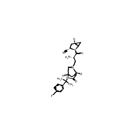 CC(C)(c1ccc(F)cc1)N1C(=O)[C@@H]2C[C@H]1CN2C[C@H](N)C(=O)N1C2C[C@H]2C[C@H]1C#N